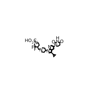 O=C1CCN(c2cnc3c(c2)c(C2CC2)cn3C2CCN(CC3CCN(C(=O)O)CC3(F)F)CC2)C(=O)N1